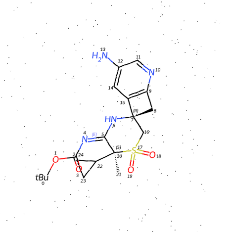 CC(C)(C)OC(=O)/N=C1/N[C@@]2(Cc3ncc(N)cc32)CS(=O)(=O)[C@@]1(C)C1CC1